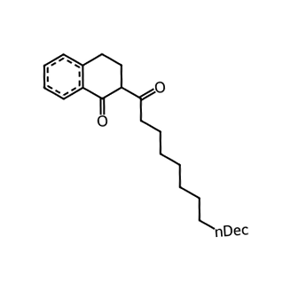 CCCCCCCCCCCCCCCCCC(=O)C1CCc2ccccc2C1=O